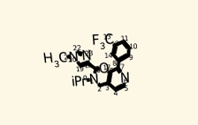 CC(C)N(Cc1ccnc(-c2cccc(C(F)(F)F)c2)c1)C(=O)c1cn(C)cn1